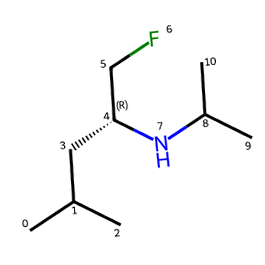 CC(C)C[C@H](CF)NC(C)C